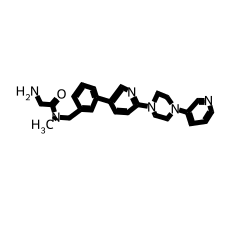 CN(Cc1cccc(-c2ccc(N3CCN(c4cccnc4)CC3)nc2)c1)C(=O)CN